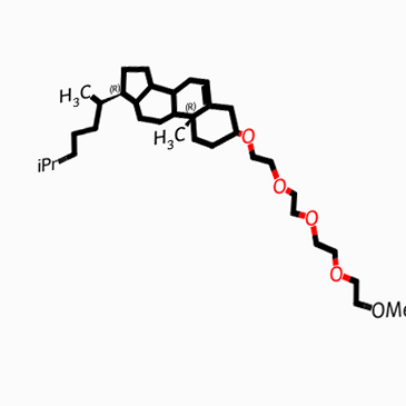 COCCOCCOCCOCCOC1CC[C@@]2(C)C(=CCC3C4CC[C@H](C(C)CCCC(C)C)C4CCC32)C1